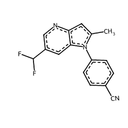 Cc1cc2ncc(C(F)F)cc2n1-c1ccc(C#N)cc1